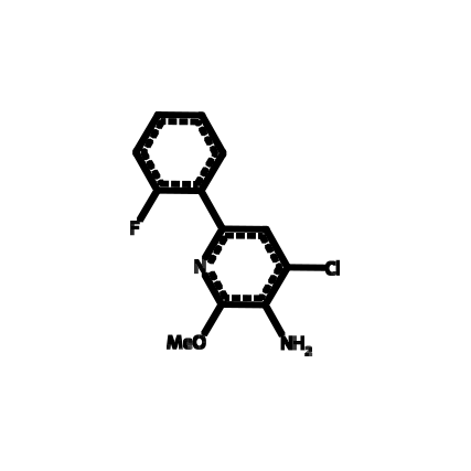 COc1nc(-c2ccccc2F)cc(Cl)c1N